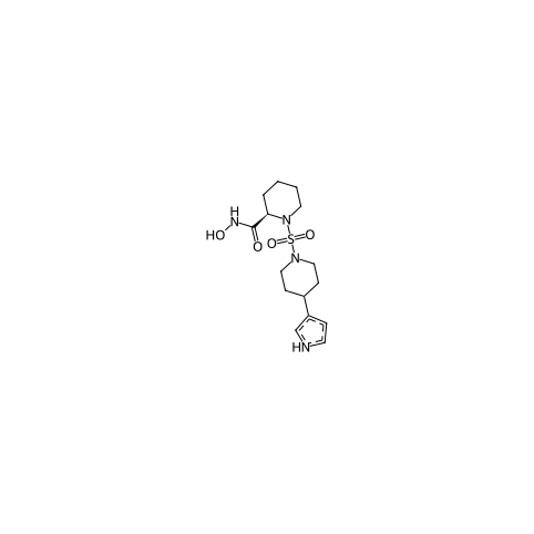 O=C(NO)[C@H]1CCCCN1S(=O)(=O)N1CCC(c2cc[nH]c2)CC1